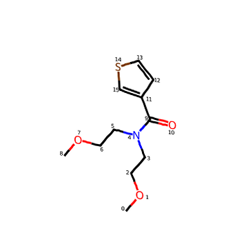 COCCN(CCOC)C(=O)c1ccsc1